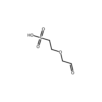 O=CCOCCS(=O)(=O)O